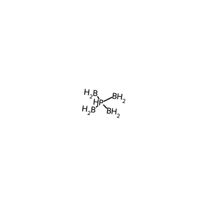 B[PH](B)(B)B